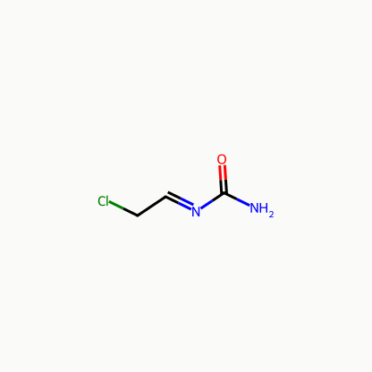 NC(=O)N=CCCl